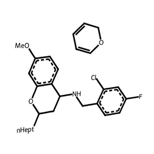 C1=CCOC=C1.CCCCCCCC1CC(NCc2ccc(F)cc2Cl)c2ccc(OC)cc2O1